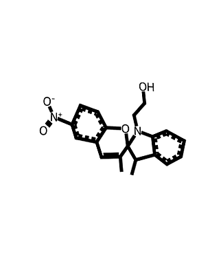 CC1=Cc2cc([N+](=O)[O-])ccc2OC12C(C)c1ccccc1N2CCO